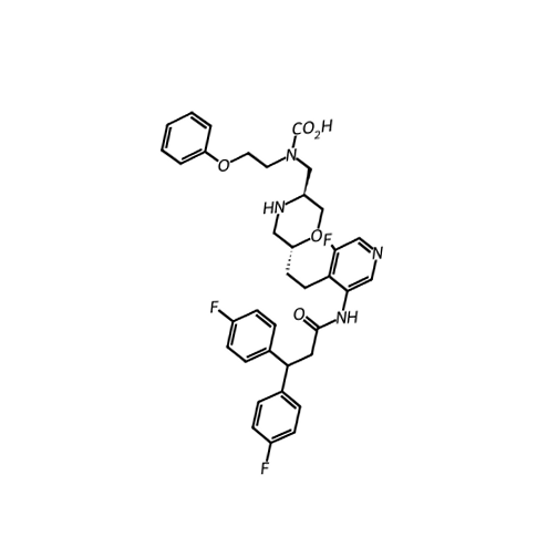 O=C(CC(c1ccc(F)cc1)c1ccc(F)cc1)Nc1cncc(F)c1CC[C@@H]1CN[C@@H](CN(CCOc2ccccc2)C(=O)O)CO1